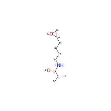 C=C(C)C(=O)NCCCCC1CO1